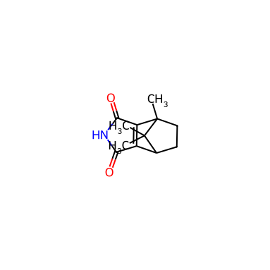 CC12CCC(C3=C1C(=O)NC3=O)C2(C)C